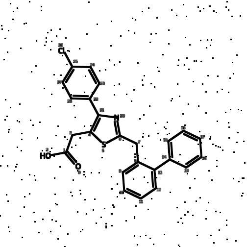 O=C(O)Cc1sc(Cc2ccccc2-c2ccccc2)nc1-c1ccc(Cl)cc1